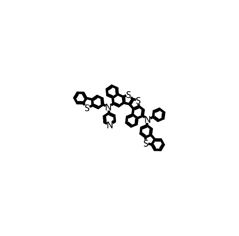 c1ccc(N(c2ccc3sc4ccccc4c3c2)c2cc3sc4sc5c6ccccc6c(N(c6ccncc6)c6ccc7c(c6)sc6ccccc67)cc5c4c3c3ccccc23)cc1